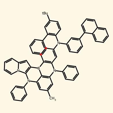 Cc1cc2c3c(c1)N(c1ccccc1)c1c(cc4ccccn14)B3c1ccc(N(c3cccc(-c4cccc5ccccc45)c3)c3ccc(C(C)(C)C)cc3-c3ccccc3)cc1N2c1ccccc1